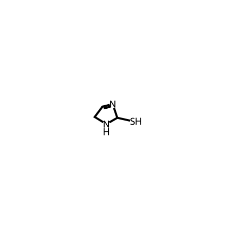 SC1N=CCN1